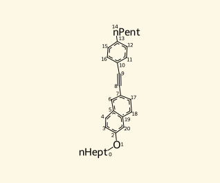 CCCCCCCOc1ccc2cc(C#Cc3ccc(CCCCC)cc3)ccc2c1